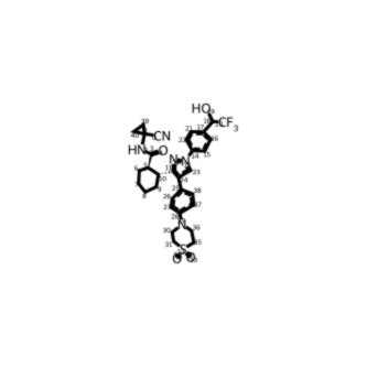 N#CC1(NC(=O)[C@@H]2CCCC[C@H]2c2nn(-c3ccc(C(O)C(F)(F)F)cc3)cc2-c2ccc(N3CCS(=O)(=O)CC3)cc2)CC1